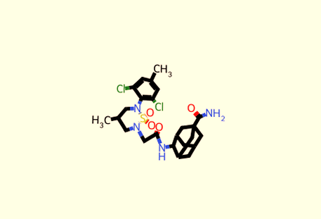 Cc1cc(Cl)c(N2CC(C)CN(CC(=O)NC3C4CC5CC3CC(C(N)=O)(C5)C4)S2(=O)=O)c(Cl)c1